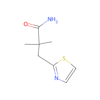 CC(C)(Cc1nccs1)C(N)=O